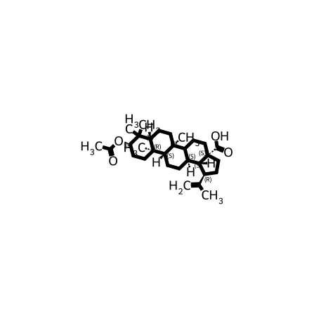 C=C(C)[C@@H]1CC[C@]2(C(=O)O)CCC3[C@H](CC[C@@H]4[C@@]5(C)CC[C@H](OC(C)=O)C(C)(C)[C@@H]5CC[C@@]34C)[C@@H]12